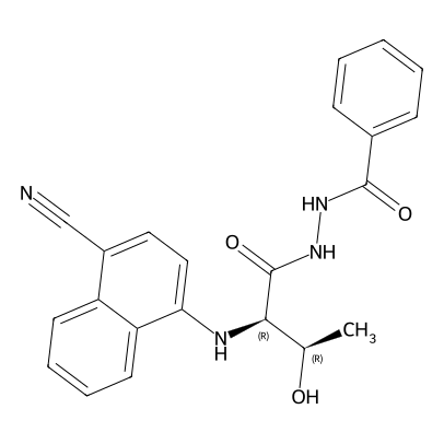 C[C@@H](O)[C@@H](Nc1ccc(C#N)c2ccccc12)C(=O)NNC(=O)c1ccccc1